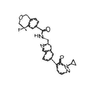 C[C@@]1(F)COCc2ccc(C(=O)NCc3cc4cc(-c5ccnn(C6CC6)c5=O)ccc4cn3)cc21